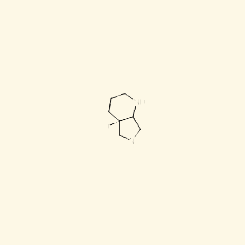 C1CNC2CNC[C@@H]2C1